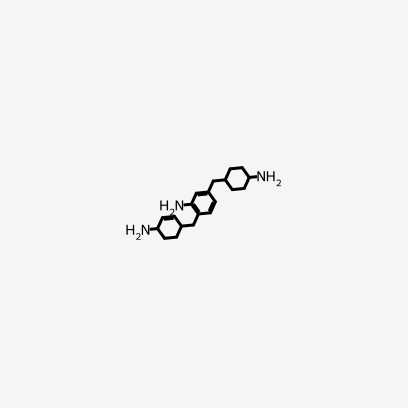 Nc1cc(CC2CCC(N)CC2)ccc1CC1C=CC(N)CC1